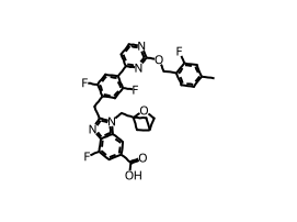 Cc1ccc(COc2nccc(-c3cc(F)c(Cc4nc5c(F)cc(C(=O)O)cc5n4CC45CC(CO4)C5)cc3F)n2)c(F)c1